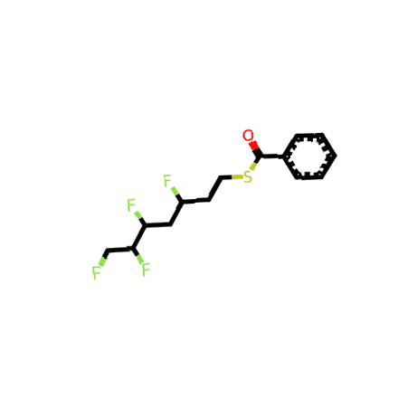 O=C(SCCC(F)CC(F)C(F)CF)c1ccccc1